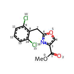 COC(=O)c1coc(Cc2c(Cl)cccc2Cl)n1